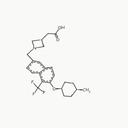 C[C@H]1CC[C@@H](Oc2ccc3cc(CN4CC(CC(=O)O)C4)ccc3c2C(F)(F)F)CC1